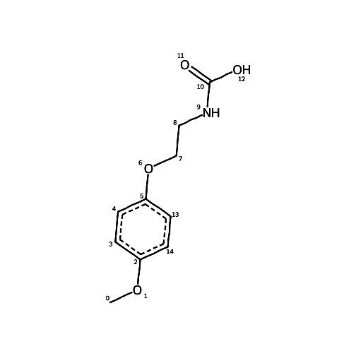 COc1ccc(OCCNC(=O)O)cc1